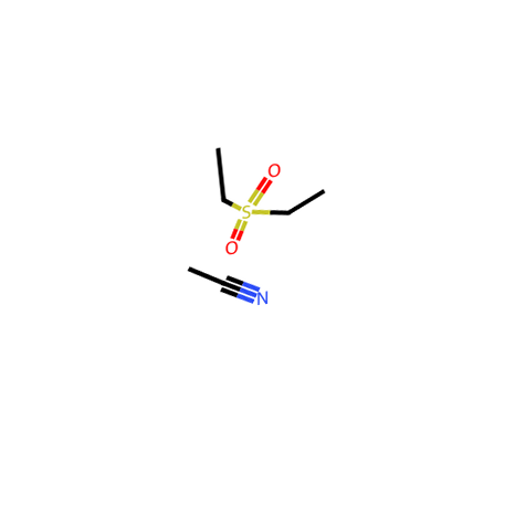 CC#N.CCS(=O)(=O)CC